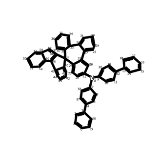 c1ccc(-c2ccc(N(c3ccc(-c4ccccc4)cc3)c3ccc4c(c3)-c3ccccc3-c3ccccc3C43c4ccccc4-c4c3ccc3ccccc43)cc2)cc1